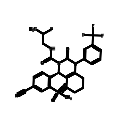 CC(F)CNC(=O)N1C(=O)N(c2cccc(C(F)(F)F)c2)C2=C(C(=O)CCC2)[C@H]1c1ccc(C#N)cc1S(C)(=O)=O